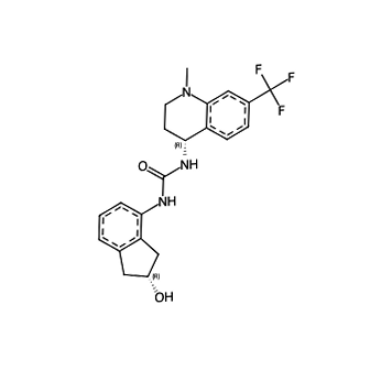 CN1CC[C@@H](NC(=O)Nc2cccc3c2C[C@H](O)C3)c2ccc(C(F)(F)F)cc21